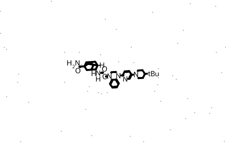 CC(C)(C)C1CCN(c2ccc(N3CCN(OC(=O)NC4[C@@H]5CC6C[C@H]4CC(C(N)=O)(C6)C5)c4ccccc43)nc2)CC1